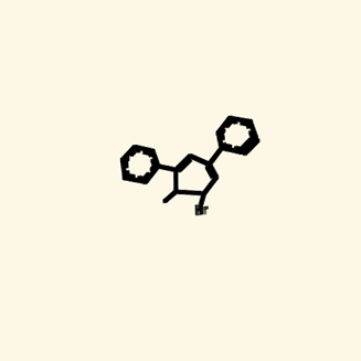 CC1C(c2ccccc2)=CC(c2c#cccc2)=CC1Br